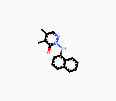 Cc1cnn(Nc2cccc3ccccc23)c(=O)c1C